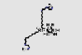 CC/C=C\C/C=C\C/C=C\CCCCCCCC(=O)OC(COC1O[C@H](CO)[C@H](O)[C@H](O)[C@H]1O)CC(CCCCCC/C=C\C/C=C\C/C=C\CC)C(=O)O